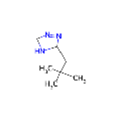 CC(C)(C)CC1N=NCN1